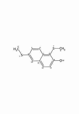 CSc1ccc2c(SC)c([O])ccc2c1